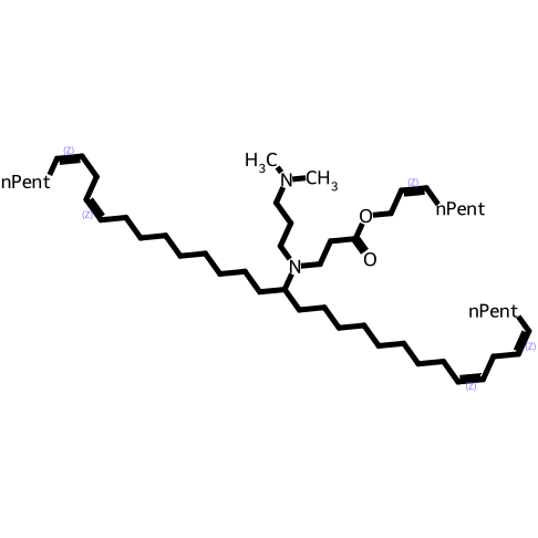 CCCCC/C=C\C/C=C\CCCCCCCCC(CCCCCCCC/C=C\C/C=C\CCCCC)N(CCCN(C)C)CCC(=O)OC/C=C\CCCCC